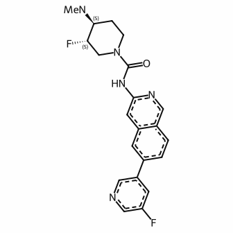 CN[C@H]1CCN(C(=O)Nc2cc3cc(-c4cncc(F)c4)ccc3cn2)C[C@@H]1F